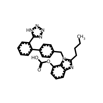 CCCCc1nc2cccc(OC(=O)O)c2n1Cc1ccc(-c2ccccc2-c2nnn[nH]2)cc1